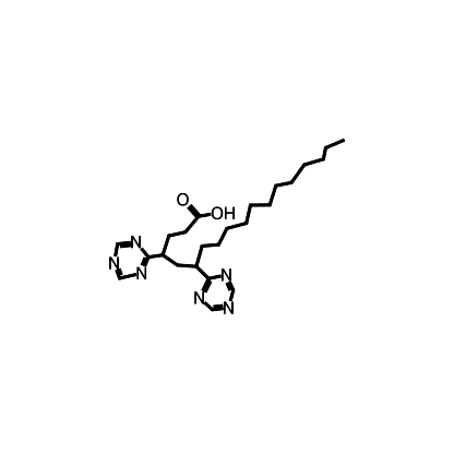 CCCCCCCCCCCCC(CC(CCC(=O)O)c1ncncn1)c1ncncn1